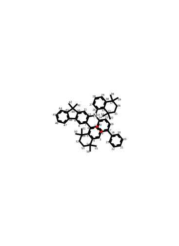 Cc1ccc2c(c1-c1cc3c(cc1N(c1ccc(-c4ccccc4)cc1)c1cccc4c1C(C)(C)CCC4(C)C)C(C)(C)c1ccccc1-3)C(C)(C)CCC2(C)C